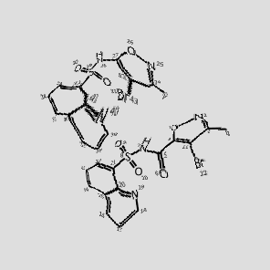 Cc1noc(C(=O)NS(=O)(=O)c2cccc3cccnc23)c1Br.Cc1noc(NS(=O)(=O)c2cccc3cccnc23)c1Br